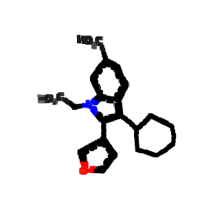 O=C(O)Cn1c(-c2ccoc2)c(C2CCCCC2)c2ccc(C(=O)O)cc21